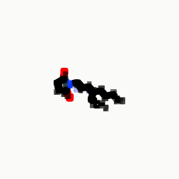 C=C/C(=C\C=C\N1C(=O)C=CC1=O)CCCC(C)=O